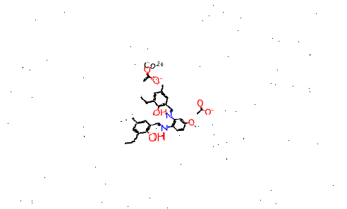 CC(=O)[O-].CC(=O)[O-].CCc1cc(C)cc(C=Nc2ccc(OC)cc2N=Cc2cc(C)cc(CC)c2O)c1O.[Co+2]